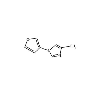 Cc1cn(-c2ccoc2)cn1